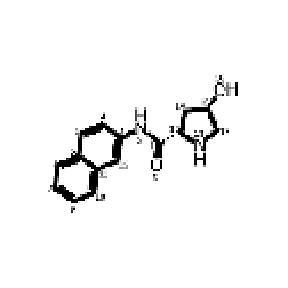 O=C(Nc1ccc2ccccc2c1)[C@@H]1C[C@@H](O)CN1